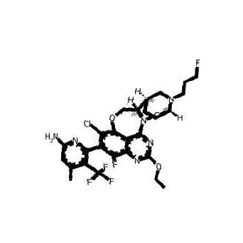 CCOc1nc2c3c(c(Cl)c(-c4nc(N)cc(C)c4C(F)(F)F)c(F)c3n1)OC[C@@H]1[C@@H]3CC[C@H](CN21)N(CCCF)C3